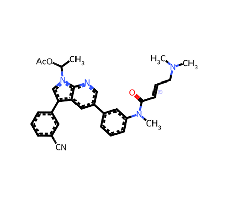 CC(=O)OC(C)n1cc(-c2cccc(C#N)c2)c2cc(-c3cccc(N(C)C(=O)/C=C/CN(C)C)c3)cnc21